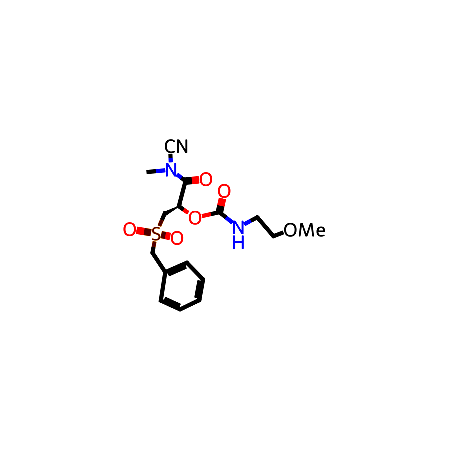 COCCNC(=O)O[C@@H](CS(=O)(=O)Cc1ccccc1)C(=O)N(C)C#N